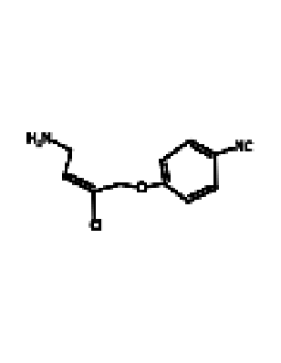 [C-]#[N+]c1ccc(OC/C(Cl)=C\CN)cc1